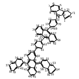 C1=Cc2c(c3ccccc3n2-c2ccc(-c3c4ccccc4c(-c4ccc(-c5ccc6c(-c7ccc8ccccc8c7)c7ccccc7c(-c7ccc8ccccc8c7)c6c5)cc4)c4ccccc34)cc2)CC1